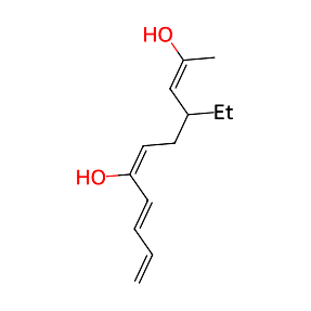 C=C/C=C/C(O)=C\CC(/C=C(\C)O)CC